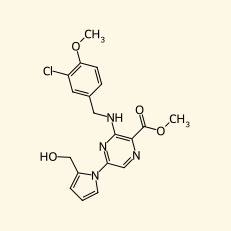 COC(=O)c1ncc(-n2cccc2CO)nc1NCc1ccc(OC)c(Cl)c1